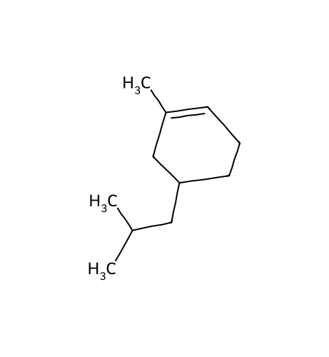 CC1=CCCC(CC(C)C)C1